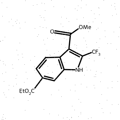 CCOC(=O)c1ccc2c(C(=O)OC)c(C(F)(F)F)[nH]c2c1